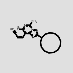 C#C/C=C\c1c(C)nc(N)n2nc(C3CCCCCCCCCCCC3)nc12